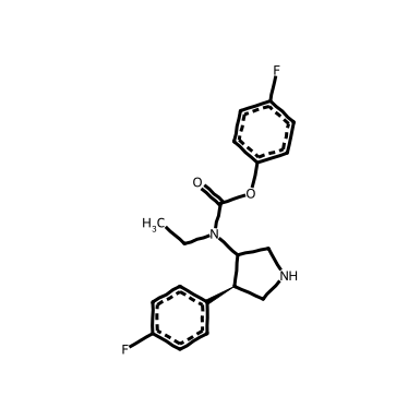 CCN(C(=O)Oc1ccc(F)cc1)C1CNC[C@H]1c1ccc(F)cc1